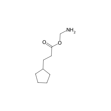 NCOC(=O)CCC1CCCC1